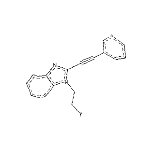 FCCn1c(C#Cc2cccnc2)nc2ccccc21